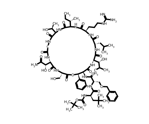 CC[C@H](C)C1NC(=O)[C@@H](CCCNC(=N)N)NC(=O)[C@H](CC(C)C)NC(=O)[C@H]([C@H](O)C(C)C)NC(=O)[C@@H](NC(=O)[C@H](COCc2ccccc2)NC(=O)[C@@H](CC(C)(C)C)NC(=O)OC(C)(C)C)[C@@H](c2ccccc2)OC(=O)[C@H](CO)NC(=O)[C@H]([C@H](O)C(N)=O)NC(=O)CNC(=O)C([C@H](C)O)NC1=O